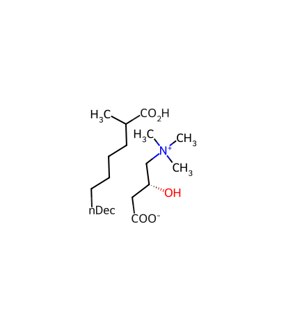 CCCCCCCCCCCCCCC(C)C(=O)O.C[N+](C)(C)C[C@H](O)CC(=O)[O-]